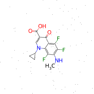 CNc1c(F)c(F)c2c(=O)c(C(=O)O)cn(C3CC3)c2c1F